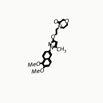 COc1ccc2cc(-n3nc(OCCN4CCOCC4=O)cc3C)ccc2c1OC